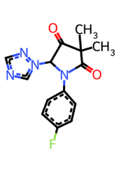 CC1(C)C(=O)C(n2cncn2)N(c2ccc(F)cc2)C1=O